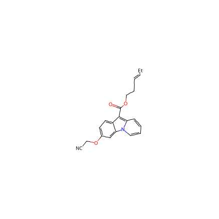 CC/C=C/CCOC(=O)c1c2ccc(OCC#N)cc2n2ccccc12